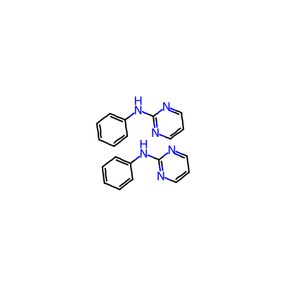 c1ccc(Nc2ncccn2)cc1.c1ccc(Nc2ncccn2)cc1